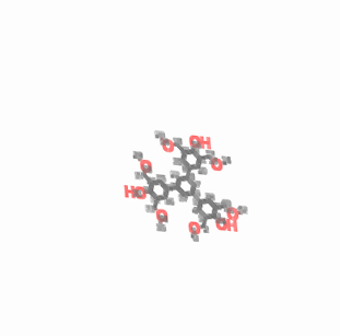 COCc1cc(-c2cc(-c3cc(COC)c(O)c(COC)c3)cc(-c3cc(COC)c(O)c(COC)c3)c2)cc(COC)c1O